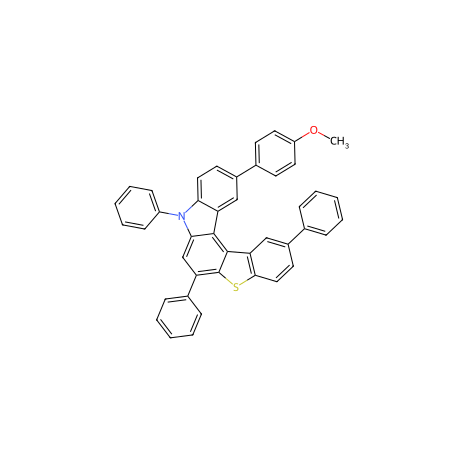 COc1ccc(-c2ccc3c(c2)c2c4c(sc5ccc(-c6ccccc6)cc54)c(-c4ccccc4)cc2n3-c2ccccc2)cc1